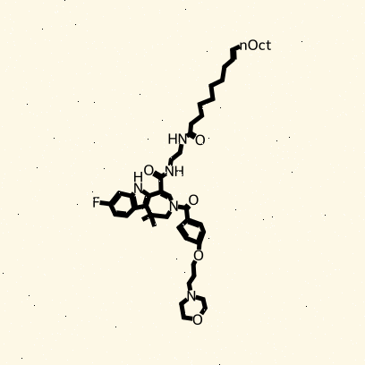 CCCCCCCCC=CCCCCCCCC(=O)NCCNC(=O)C1=CN(C(=O)c2ccc(OCCCN3CCOCC3)cc2)CC(C)(C)c2c1[nH]c1cc(F)ccc21